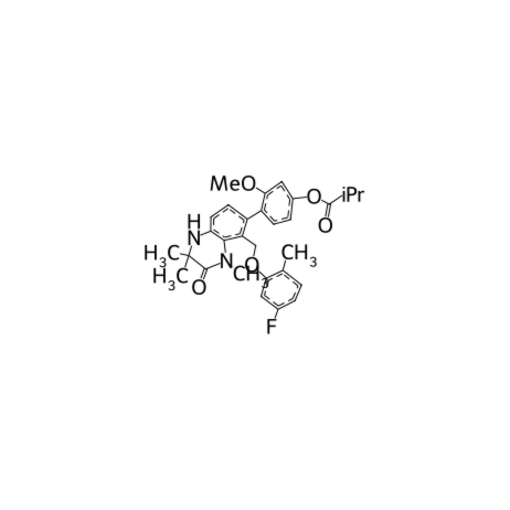 COc1cc(OC(=O)C(C)C)ccc1-c1ccc2c(c1COc1cc(F)ccc1C)N(C)C(=O)C(C)(C)N2